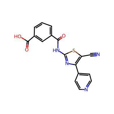 N#Cc1sc(NC(=O)c2cccc(C(=O)O)c2)nc1-c1ccncc1